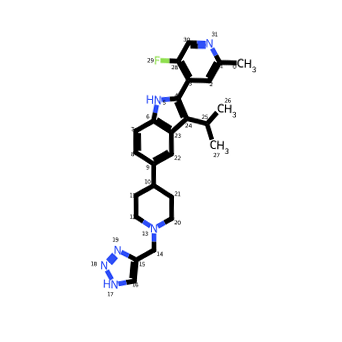 Cc1cc(-c2[nH]c3ccc(C4CCN(Cc5c[nH]nn5)CC4)cc3c2C(C)C)c(F)cn1